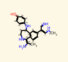 CN/C=C(\C=N)c1ccc2c(c1)C(Nc1ccc(O)cc1)CCN/C2=C(/C)N